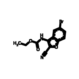 CCOC(=O)Nc1c(C#N)oc2ccc(Br)cc12